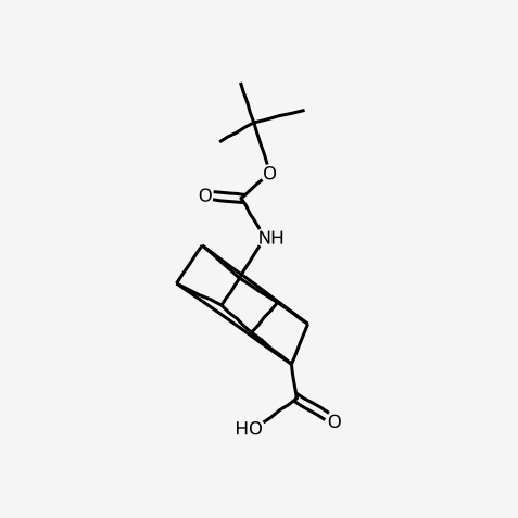 CC(C)(C)OC(=O)NC12C3C4C1C1C2C3C41C(=O)O